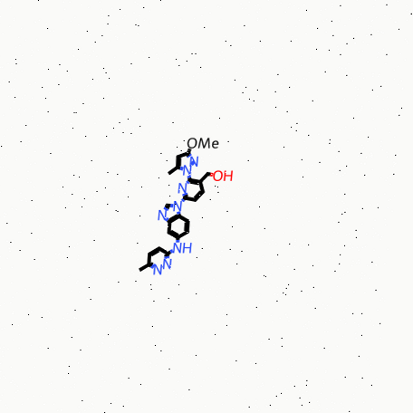 COc1cc(C)n(-c2nc(-n3cnc4cc(Nc5ccc(C)nn5)ccc43)ccc2CO)n1